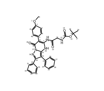 COc1ccc(-c2c(NC(=O)CNC(=O)OC(C)(C)C)[nH]c3c(-c4ccccc4)c(-c4ccccc4)nn3c2=O)cc1